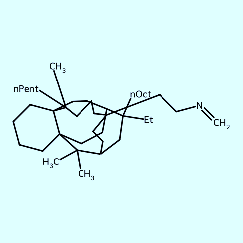 C=NCCC1CCCC(C)(CCCCC)C23CCCCC24CCC(CC3)C(CC)(CCCCCCCC)CC(CC1)C4(C)C